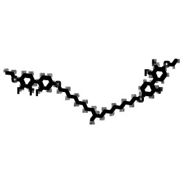 CCOc1ccc(-c2ccc(OCCCCCCCCC(C)CCCCCCCCOc3ccc(-c4ccc(OCC)c(F)c4F)c(F)c3)cc2F)c(F)c1F